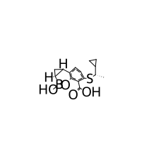 C[C@H](Sc1ccc2c(c1C(=O)O)OB(O)[C@H]1C[C@@H]21)C1CC1